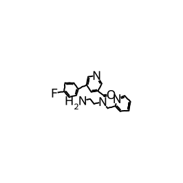 NCCN(Cc1ccccn1)C(=O)c1cncc(-c2ccc(F)cc2)c1